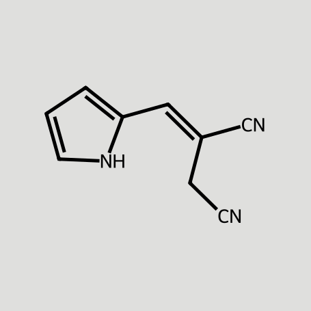 N#CCC(C#N)=Cc1ccc[nH]1